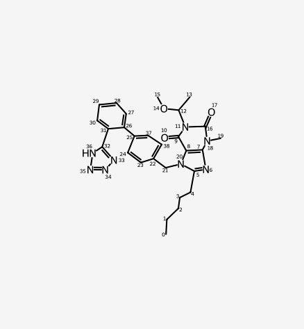 CCCCCc1nc2c(c(=O)n(C(C)OC)c(=O)n2C)n1Cc1ccc(-c2ccccc2-c2nnn[nH]2)cc1